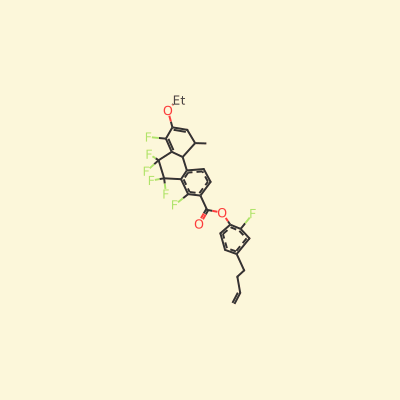 C=CCCc1ccc(OC(=O)c2ccc3c(c2F)C(F)(F)C(F)(F)C2=C(F)C(OCC)=CC(C)C23)c(F)c1